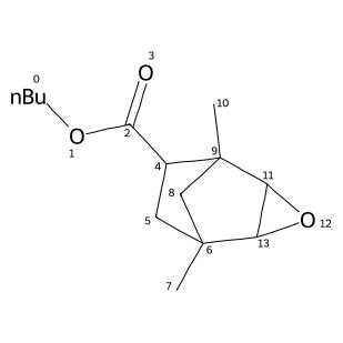 CCCCOC(=O)C1CC2(C)CC1(C)C1OC12